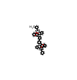 Cc1cccc(-c2nc(-c3ccccc3)nc(-c3ccccc3-n3c4ccccc4c4cc(-c5ccc6c(c5)c5ccccc5n6-c5ccccc5-c5nc(-c6ccccc6)nc(-c6ccccc6)n5)ccc43)n2)c1